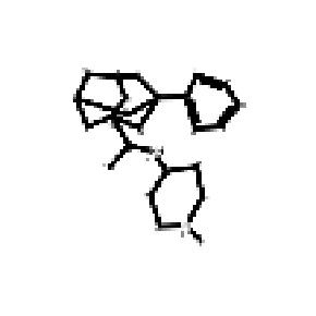 CC(NC1CCN(C)CC1)C12CC3CC(CC(c4ccccc4)(C3)C1)C2